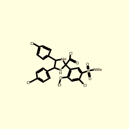 CCOc1cc(Cl)c(S(=O)(=O)NC)cc1C1(C(=O)Cl)NC(c2ccc(Cl)cc2)C(c2ccc(Cl)cc2)N1